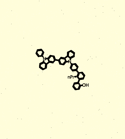 CCCc1c(-c2ccc(-n3c4ccccc4c4cc(-c5ccc6c(c5)c5ccccc5n6-c5ccccc5)ccc43)cc2)cccc1-c1ccccc1O